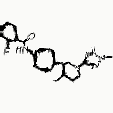 CC1=C(c2ccc(NC(=O)c3ccccc3F)cc2)CN(c2nnn(C)n2)CC1